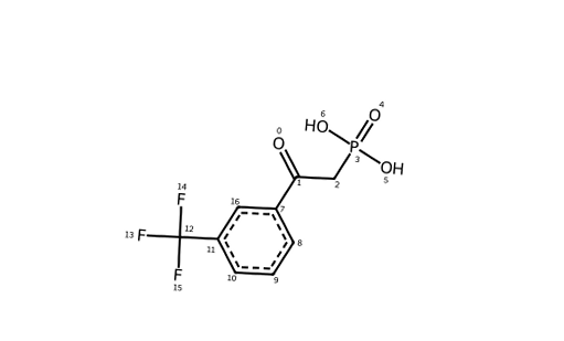 O=C(CP(=O)(O)O)c1cccc(C(F)(F)F)c1